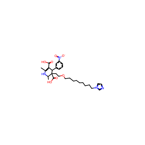 CC1=C(C(=O)O)C(c2cccc([N+](=O)[O-])c2)C(CCOCCCCCCCCCn2ccnc2)(C(=O)O)C(C)N1